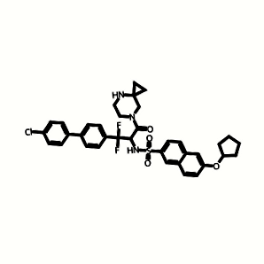 O=C(C(NS(=O)(=O)c1ccc2cc(OC3CCCC3)ccc2c1)C(F)(F)c1ccc(-c2ccc(Cl)cc2)cc1)N1CCNC2(CC2)C1